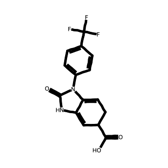 O=C(O)C1C=c2[nH]c(=O)n(-c3ccc(C(F)(F)F)cc3)c2=CC1